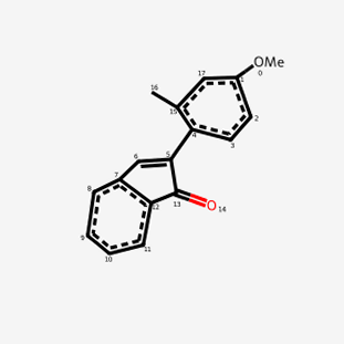 COc1ccc(C2=Cc3ccccc3C2=O)c(C)c1